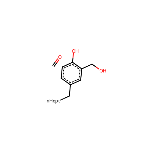 C=O.CCCCCCCCc1ccc(O)c(CO)c1